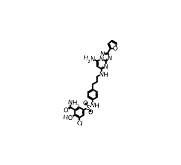 NC(=O)c1cc(S(=O)(=O)Nc2ccc(CCCNc3cc(N)n4nc(-c5ccco5)nc4n3)cc2)cc(Cl)c1O